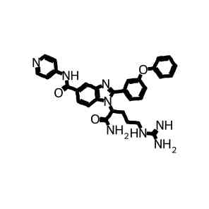 N=C(N)NCCCC(C(N)=O)n1c(-c2cccc(Oc3ccccc3)c2)nc2cc(C(=O)Nc3ccncc3)ccc21